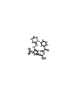 O=C(O)CNC(=O)c1ccccc1.O=[N+]([O-])c1cncn1CCN1CCOCC1